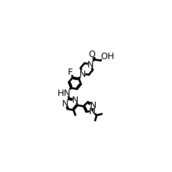 Cc1cnc(Nc2ccc(N3CCN(C(=O)CO)CC3)c(F)c2)nc1-c1cnn(C(C)C)c1